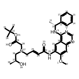 COc1cc2ncnc(N[C@H](C)c3ccccc3)c2cc1NC(=O)C=CCN(CC(=O)OC(C)(C)C)C[C@H](C)O